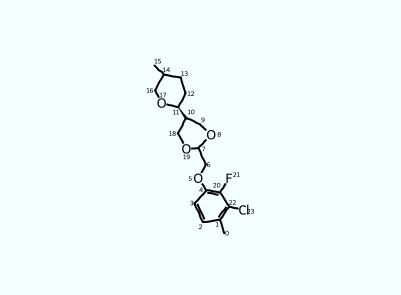 Cc1ccc(OCC2OCC([C@@H]3CCC(C)CO3)CO2)c(F)c1Cl